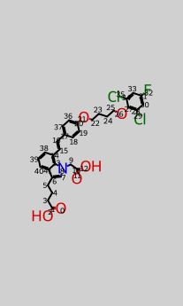 O=C(O)CCCc1cn(CC(=O)O)c2c(/C=C/c3ccc(OCCCCOc4c(Cl)cc(F)cc4Cl)cc3)cccc12